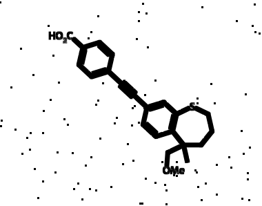 COCC1(C)CCCSc2cc(C#Cc3ccc(C(=O)O)cc3)ccc21